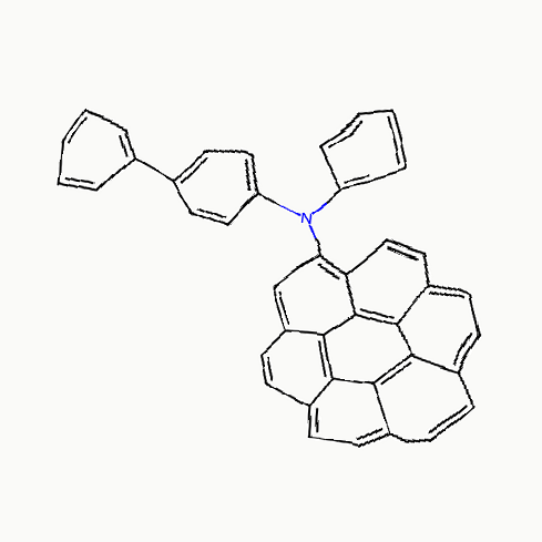 c1ccc(-c2ccc(N(c3ccccc3)c3cc4ccc5ccc6ccc7ccc8ccc3c3c8c7c6c5c43)cc2)cc1